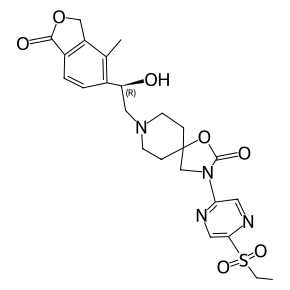 CCS(=O)(=O)c1cnc(N2CC3(CCN(C[C@H](O)c4ccc5c(c4C)COC5=O)CC3)OC2=O)cn1